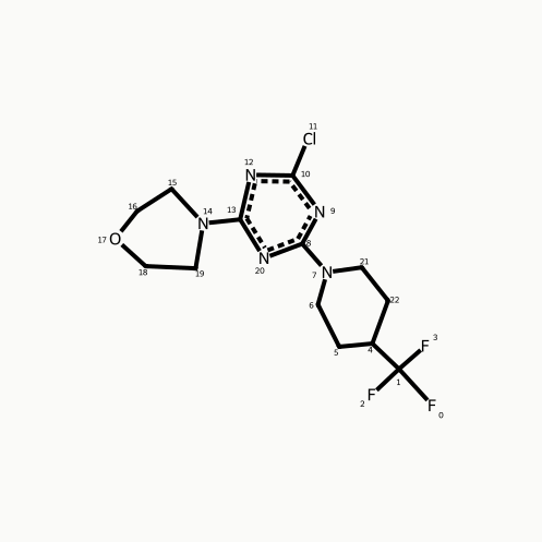 FC(F)(F)C1CCN(c2nc(Cl)nc(N3CCOCC3)n2)CC1